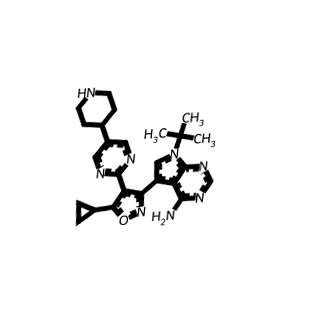 CC(C)(C)n1cc(-c2noc(C3CC3)c2-c2ncc(C3CCNCC3)cn2)c2c(N)ncnc21